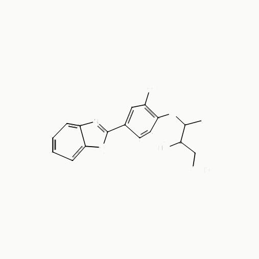 CCOC(=O)CC(O)C(C)Oc1ccc(-c2nc3ccccc3o2)cc1O